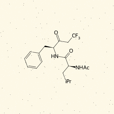 CC(=O)N[C@@H](CC(C)C)C(=O)N[C@@H](Cc1ccccc1)C(=O)CC(F)(F)F